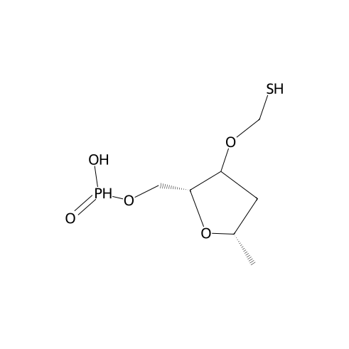 C[C@H]1CC(OCS)[C@@H](CO[PH](=O)O)O1